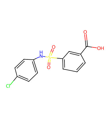 O=C(O)c1cccc(S(=O)(=O)Nc2ccc(Cl)cc2)c1